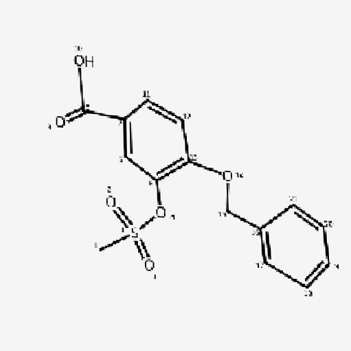 CS(=O)(=O)Oc1cc(C(=O)O)ccc1OCc1ccccc1